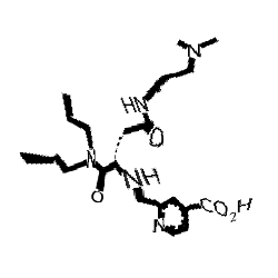 C=CCN(CC=C)C(=O)[C@H](CC(=O)NCCCN(C)C)NCc1cc(C(=O)O)ccn1